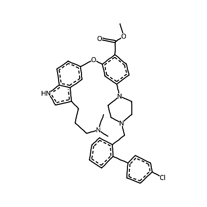 COC(=O)c1ccc(N2CCN(Cc3ccccc3-c3ccc(Cl)cc3)CC2)cc1Oc1ccc2[nH]cc(CCCN(C)C)c2c1